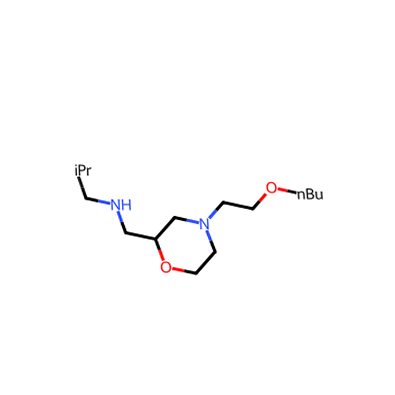 CCCCOCCN1CCOC(CNCC(C)C)C1